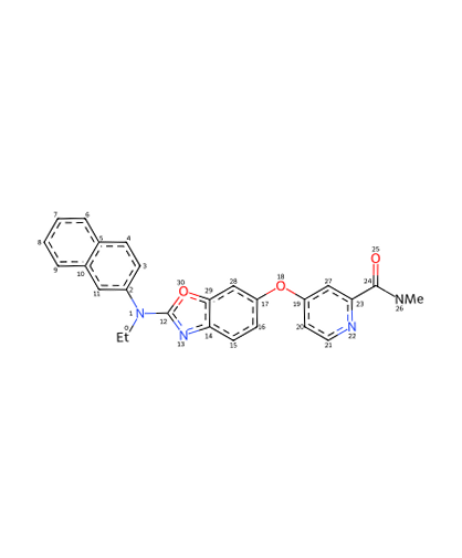 CCN(c1ccc2ccccc2c1)c1nc2ccc(Oc3ccnc(C(=O)NC)c3)cc2o1